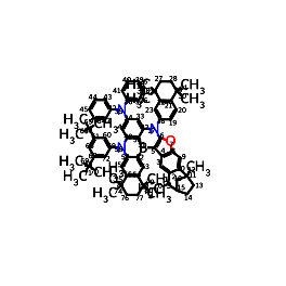 CC1c2cc3c4c(oc3cc2C2(C)CCC1C2)N(c1ccc2c(c1)C(C)(C)CCC2(C)C)c1cc(N(c2ccccc2)c2ccccc2)cc2c1B4c1cc3c(cc1N2c1cc(C(C)(C)C)cc(C(C)(C)C)c1)C(C)(C)CCC3(C)C